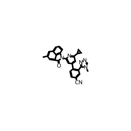 Cc1cc2c3c(cccc3c1)N(c1cc(-c3ccc(C#N)cc3-c3nncn3C)cc(C3CC3)n1)C2=O